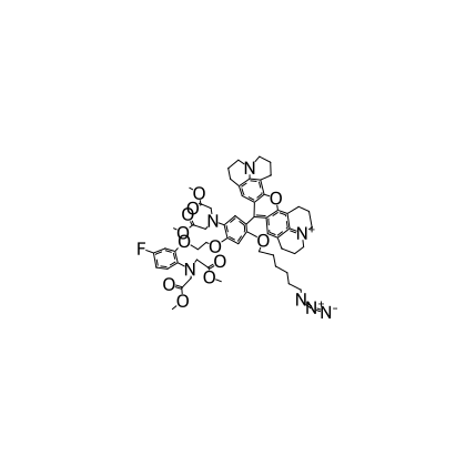 COC(=O)CN(CC(=O)OC)c1ccc(F)cc1OCCOc1cc(OCCCCCCN=[N+]=[N-])c(C2=c3cc4c5c(c3Oc3c2cc2c6c3CCCN6CCC2)CCC[N+]=5CCC4)cc1N(CC(=O)OC)CC(=O)OC